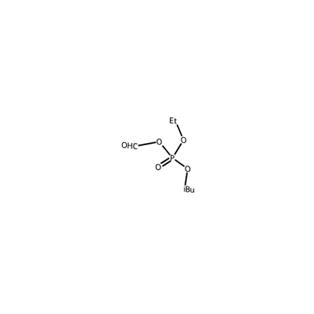 CCOP(=O)(OC=O)OC(C)CC